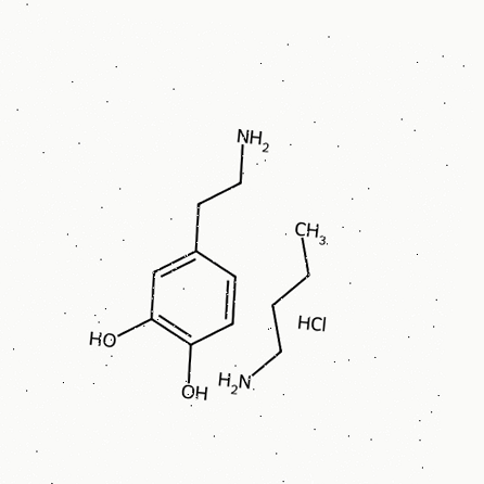 CCCCN.Cl.NCCc1ccc(O)c(O)c1